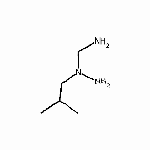 CC(C)CN(N)CN